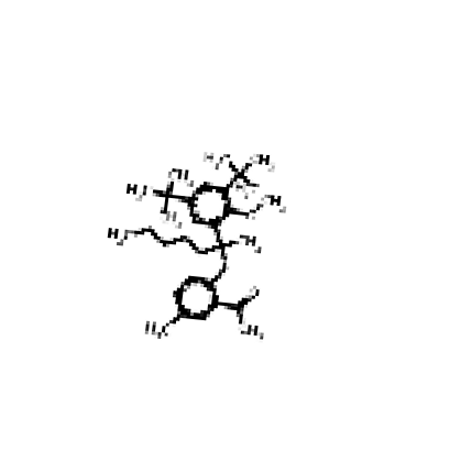 CCCCCC(C)(Pc1ccc(C)cc1C(C)=O)c1cc(C(C)(C)C)cc(C(C)(C)C)c1OC